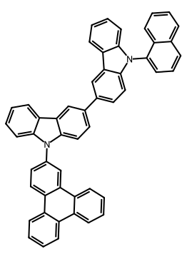 c1ccc2c(-n3c4ccccc4c4cc(-c5ccc6c(c5)c5ccccc5n6-c5ccc6c7ccccc7c7ccccc7c6c5)ccc43)cccc2c1